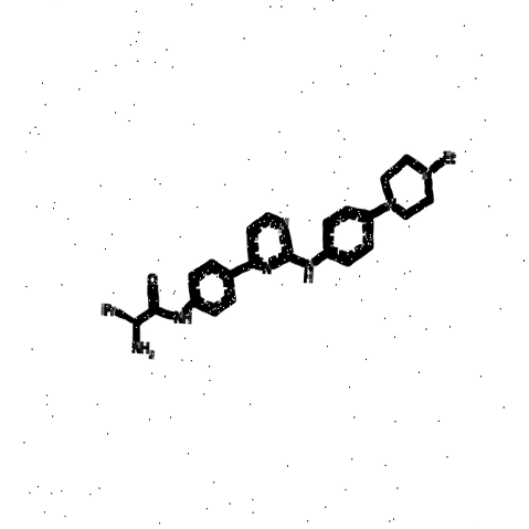 CCN1CCN(c2ccc(Nc3nccc(-c4ccc(NC(=O)[C@@H](N)C(C)C)cc4)n3)cc2)CC1